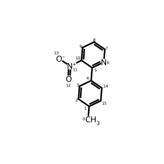 Cc1ccc(-c2ncccc2[N+](=O)[O-])cc1